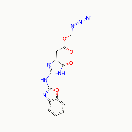 [N-]=[N+]=NCOC(=O)CC1N=C(Nc2nc3ccccc3o2)NC1=O